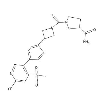 CS(=O)(=O)c1cc(Cl)ncc1-c1ccc(C2CN(C(=O)N3CC[C@H](C(N)=O)C3)C2)cc1